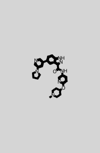 CN1CCC(Oc2ccc(NC(=O)c3n[nH]c4ccc(-c5cncc(N6CCCC6)c5)cc34)cn2)CC1